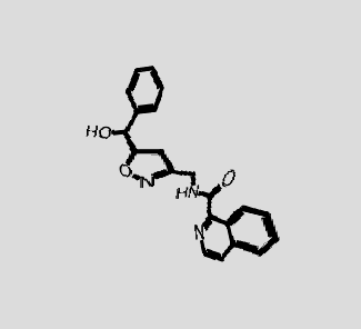 O=C(NCC1=NOC(C(O)c2ccccc2)C1)c1nccc2ccccc12